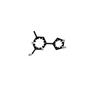 Cc1cc(-c2cn[nH]c2)nc(C(C)C)n1